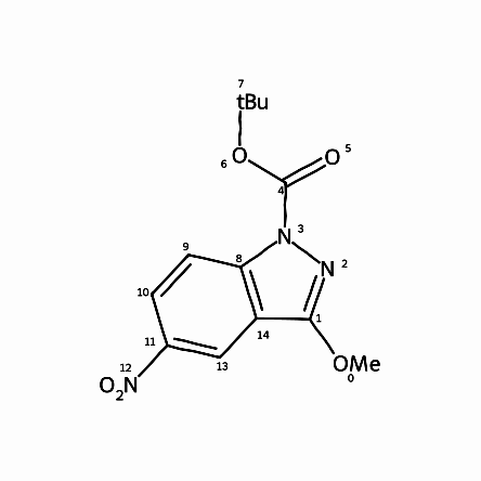 COc1nn(C(=O)OC(C)(C)C)c2ccc([N+](=O)[O-])cc12